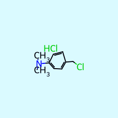 CN(C)c1ccc(CCl)cc1.Cl